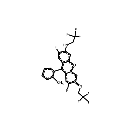 Cc1ccccc1-c1c2cc(F)/c(=N\CC(F)(F)F)cc-2oc2cc(NCC(F)(F)F)c(F)cc12